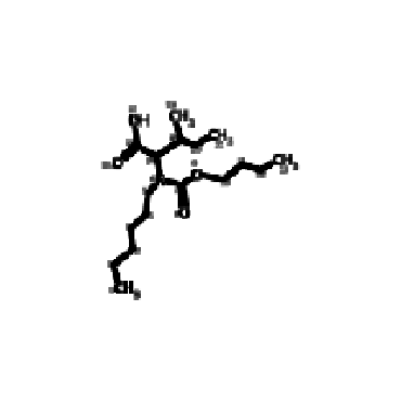 CCCCCCN(C(=O)OCCCC)C(C(=O)O)C(C)CC